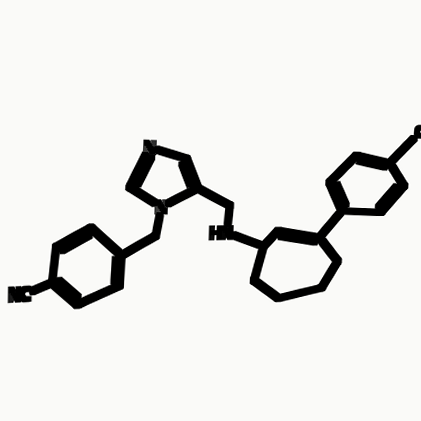 N#Cc1ccc(Cn2cncc2CNC2C=C(c3ccc(Cl)cc3)CCCC2)cc1